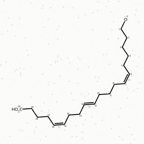 [O]CCCCC/C=C\CCC/C=C/CC/C=C\CCCC(=O)O